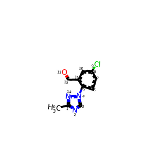 Cc1ncn(-c2ccc(Cl)cc2C=O)n1